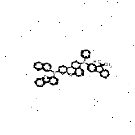 CC1(C)c2ccccc2-c2ccc(N(c3ccccc3)c3ccc4c5c(cccc35)Sc3cc(N(c5ccc6ccccc6c5)c5cccc6c5oc5ccccc56)ccc3-4)cc21